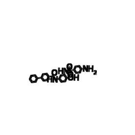 Nc1ccc(S(=O)(=O)Nc2cc(NC(=O)c3ccc(-c4ccccc4)cc3)ccc2O)cc1